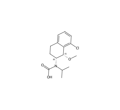 CO[C@H]1c2c(Cl)cccc2CC[C@H]1N(C(=O)O)C(C)C